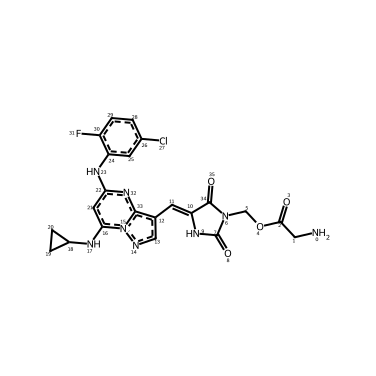 NCC(=O)OCN1C(=O)N/C(=C\c2cnn3c(NC4CC4)cc(Nc4cc(Cl)ccc4F)nc23)C1=O